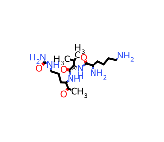 CC(=O)C(CCCNC(N)=O)NC(=O)[C@@H](NC(=O)C(N)CCCCN)C(C)C